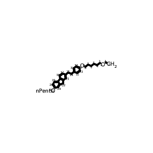 C=COCCCCCCOc1ccc(CCc2ccc3c(c2)Cc2cc(OCCCCC)ccc2-3)cc1